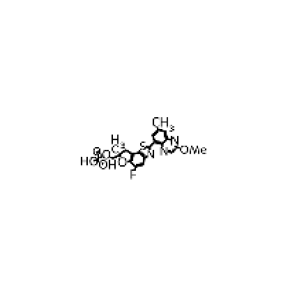 COc1cnc2c(-c3nc4cc(F)c5c(c4s3)C[C@@](C)(COP(=O)(O)O)O5)cc(C)cc2n1